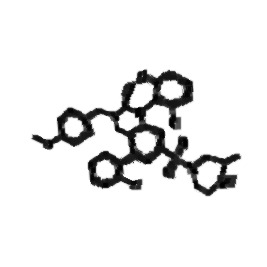 COc1ccc(CN2Cc3c(-c4ccccc4Cl)cc(S(=O)(=O)N4CCNC(C)C4)cc3N(c3c(Cl)cccc3Cl)C2=O)cc1